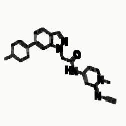 C#C/N=c1/cc(NC(=O)Cn2ncc3ccc(C4=CCC(C)CC4)cc32)ccn1C